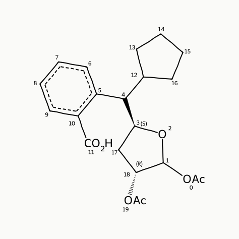 CC(=O)OC1O[C@H](C(c2ccccc2C(=O)O)C2CCCC2)C[C@H]1OC(C)=O